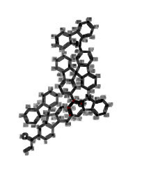 C=CC(=O)c1ccc2c(c1)C1(c3ccccc3-c3ccccc31)c1cc(C(=O)c3ccc4c(c3)C3(c5ccccc5-4)c4cc(-n5c6ccccc6c6ccccc65)ccc4-c4ccc(-n5c6ccccc6c6ccccc65)cc43)ccc1-2